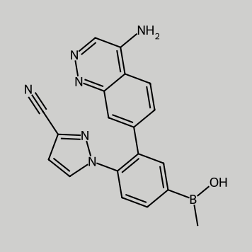 CB(O)c1ccc(-n2ccc(C#N)n2)c(-c2ccc3c(N)cnnc3c2)c1